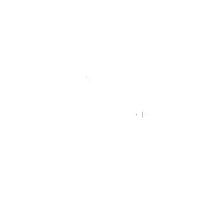 CC1CCC(I)SC1